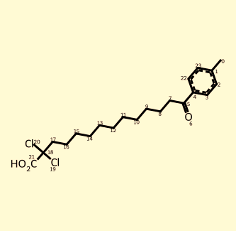 Cc1ccc(C(=O)CCCCCCCCCCCC(Cl)(Cl)C(=O)O)cc1